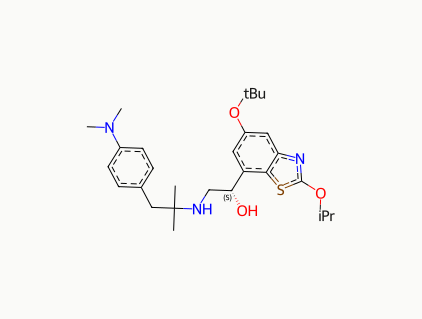 CC(C)Oc1nc2cc(OC(C)(C)C)cc([C@H](O)CNC(C)(C)Cc3ccc(N(C)C)cc3)c2s1